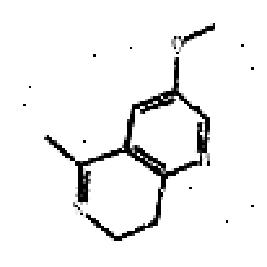 COc1cnc2c(c1)C(C)=NCC2